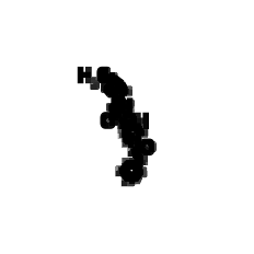 CN1CC2CC(C1)N(c1cc(=O)n(CC3(O)CCN(C(=O)CCc4ccccc4)CC3)cn1)C2